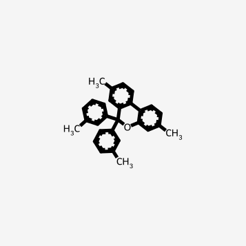 Cc1cccc(C2(c3cccc(C)c3)Oc3cc(C)ccc3-c3ccc(C)cc32)c1